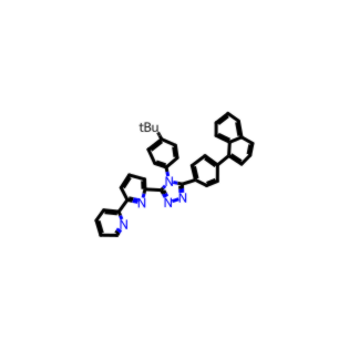 CC(C)(C)c1ccc(-n2c(-c3ccc(-c4cccc5ccccc45)cc3)nnc2-c2cccc(-c3ccccn3)n2)cc1